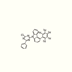 [2H]c1c([2H])c([2H])c(-c2cccc3c2c2ccccc2n3-c2nc(Cl)nc(-c3ccccc3)n2)c([2H])c1[2H]